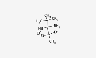 BC(BCC)(C(C)(CC)CC)C(C)(C)C(F)(F)F